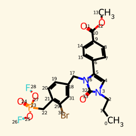 CCCn1cc(-c2ccc(C(=O)OC)cc2)n(Cc2ccc(CP(=O)(OF)OF)c(Br)c2)c1=O